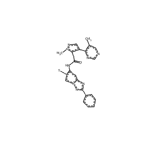 Cc1cncnc1-c1cnn(C)c1C(=O)Nc1cc2nc(-c3ccccc3)nn2cc1F